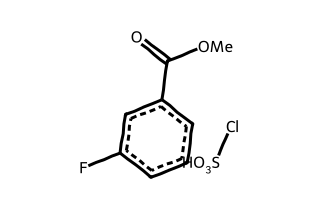 COC(=O)c1cccc(F)c1.O=S(=O)(O)Cl